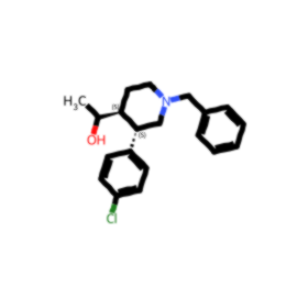 CC(O)[C@H]1CCN(Cc2ccccc2)C[C@@H]1c1ccc(Cl)cc1